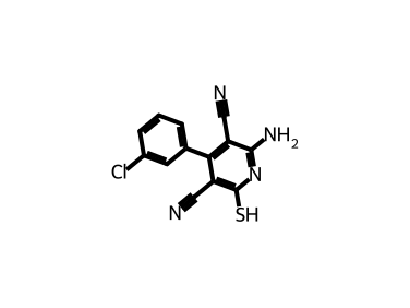 N#Cc1c(N)nc(S)c(C#N)c1-c1cccc(Cl)c1